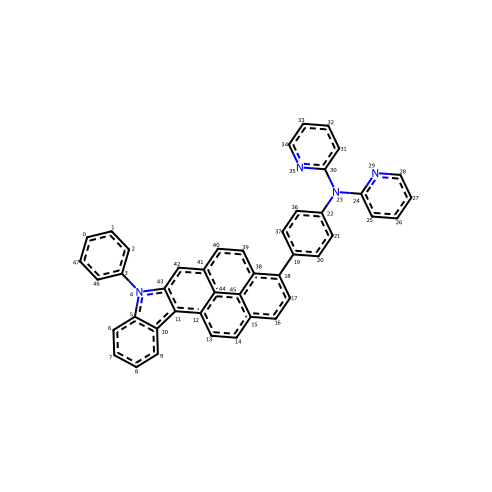 c1ccc(-n2c3ccccc3c3c4ccc5ccc(-c6ccc(N(c7ccccn7)c7ccccn7)cc6)c6ccc(cc32)c4c56)cc1